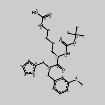 COc1cccc(CN(Cc2cccs2)C(=O)[C@@H](CCCCNC(=O)O)NC(=O)OC(C)(C)C)c1